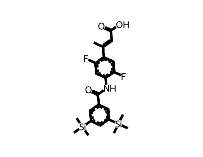 C/C(=C\C(=O)O)c1cc(F)c(NC(=O)c2cc([Si](C)(C)C)cc([Si](C)(C)C)c2)cc1F